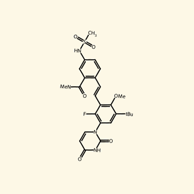 CNC(=O)c1cc(NS(C)(=O)=O)ccc1/C=C/c1c(F)c(-n2ccc(=O)[nH]c2=O)cc(C(C)(C)C)c1OC